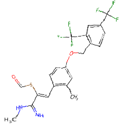 CNC(=N)/C(=C/c1ccc(OCc2ccc(C(F)(F)F)cc2C(F)(F)F)cc1C)SC=O